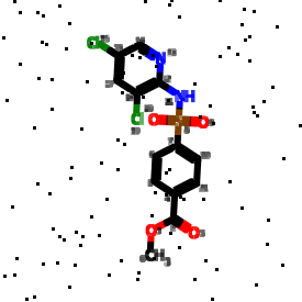 COC(=O)c1ccc(S(=O)(=O)Nc2ncc(Cl)cc2Cl)cc1